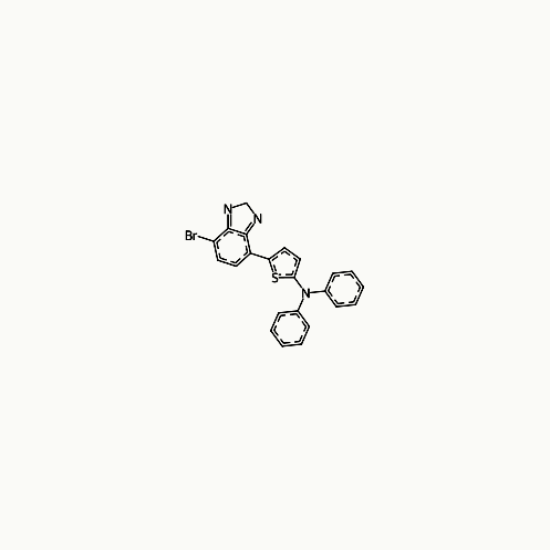 Brc1ccc(-c2ccc(N(c3ccccc3)c3ccccc3)s2)c2c1=NCN=2